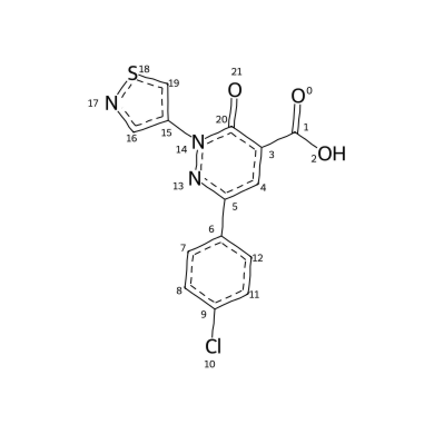 O=C(O)c1cc(-c2ccc(Cl)cc2)nn(-c2cnsc2)c1=O